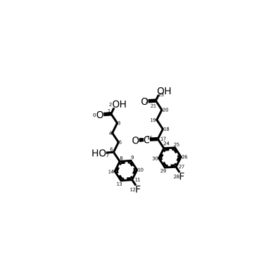 O=C(O)CCCC(O)c1ccc(F)cc1.O=C=C(CCCC(=O)O)c1ccc(F)cc1